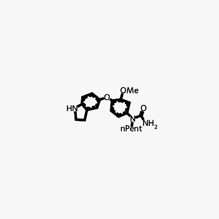 CCCCCN(C(N)=O)c1ccc(Oc2ccc3c(c2)CCN3)c(OC)c1